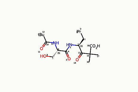 CC(C)C[C@H](NC(=O)[C@H](CO)NC(=O)C(C)(C)C)C(=O)C(C)(C)C(=O)O